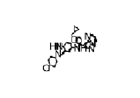 N=C1C=C(OCC2CC2)C(NC(=O)c2cnn3cccnc23)=C/C1=C/NC1CCC(=O)CC1